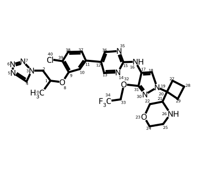 CC(Cn1cnnn1)Oc1cc(-c2cnc(Nc3cn(C4(C5COCCN5)CCC4)nc3OCC(F)(F)F)nc2)ccc1Cl